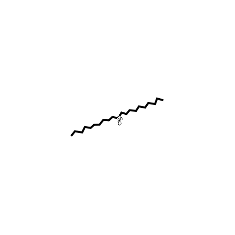 CCCCCCCCC[CH2][Sn](=[O])[CH2]CCCCCCCCC